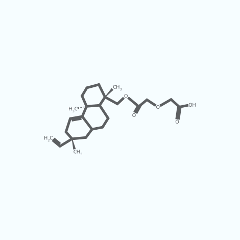 C=C[C@]1(C)CC=C2C(CCC3[C@@](C)(COC(=O)COCC(=O)O)CCC[C@]23C)C1